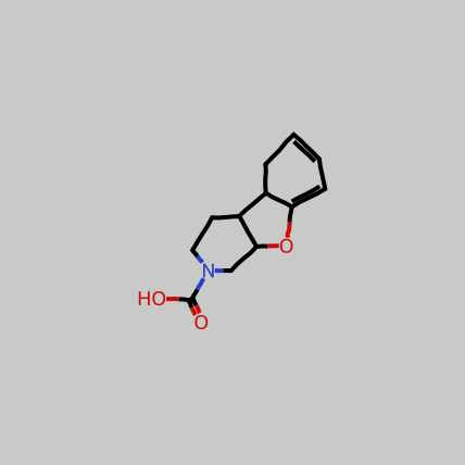 O=C(O)N1CCC2C(C1)OC1=CC=CCC12